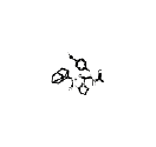 CC(=O)N[C@@H](Cc1ccc(C#N)cc1)C(=O)N1CCC[C@@H]1C(=O)NC1C2CC3CC(C2)CC1C3